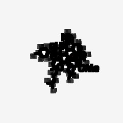 COC(=O)/C(C)=C\CC12OC(C)(C)C3CC(C1=O)C1C4=C(Nc5nccn51)c1c(OS(=O)(=O)c5ccc(C)cc5)c5c(c(CC=C(C)C)c1OC432)OC(C)(CCC=C(C)C)C=C5